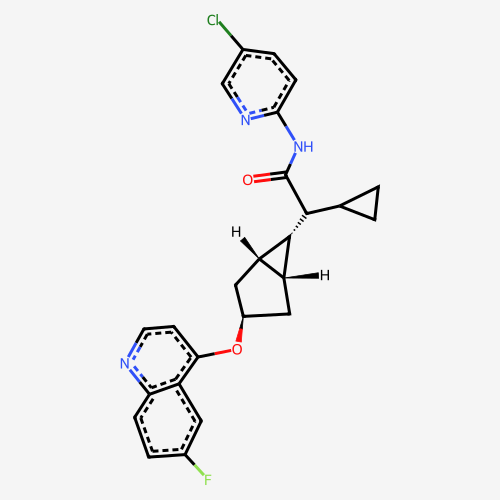 O=C(Nc1ccc(Cl)cn1)C(C1CC1)[C@@H]1[C@@H]2C[C@@H](Oc3ccnc4ccc(F)cc34)C[C@@H]21